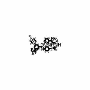 Cc1ccc(NC(=O)c2cc(N3CCN(C)CC3)cc(C(F)(F)F)c2)cc1Nc1ncccc1-c1cc(NC2CC2)ncn1